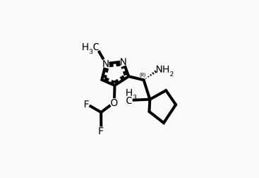 Cn1cc(OC(F)F)c([C@H](N)C2(C)CCCC2)n1